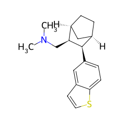 CN(C)C[C@H]1[C@H]2CC[C@H](C2)[C@H]1c1ccc2sccc2c1